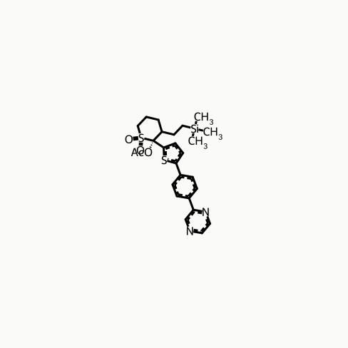 CC(=O)O[C@@]1(c2ccc(-c3ccc(-c4cnccn4)cc3)s2)C(CC[Si](C)(C)C)CCCS1(=O)=O